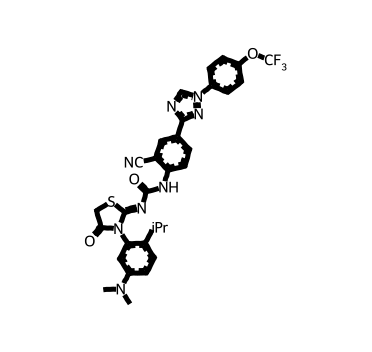 CC(C)c1ccc(N(C)C)cc1N1C(=O)CS/C1=N\C(=O)Nc1ccc(-c2ncn(-c3ccc(OC(F)(F)F)cc3)n2)cc1C#N